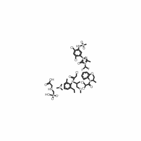 CC1COc2ccccc2N1C(=O)C(Cl)Cl.CCc1cccc(C)c1N(C(=O)CCl)C(C)COC.C[S+](C)C.Cc1nn(-c2cc(NS(C)(=O)=O)c(Cl)cc2Cl)c(=O)n1C(F)F.O=C(O)CNCP(=O)([O-])O